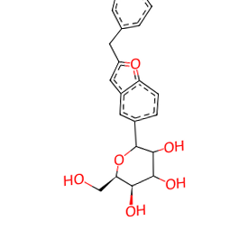 OC[C@H]1OC(c2ccc3oc(Cc4ccccc4)cc3c2)C(O)C(O)[C@H]1O